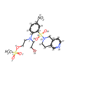 CS(=O)(=O)OCCN(CCBr)c1ccc([N+](=O)[O-])cc1S(=O)(=O)N1CCc2cnccc2C1